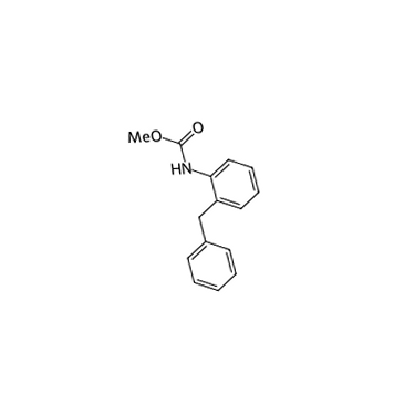 COC(=O)Nc1ccccc1Cc1ccccc1